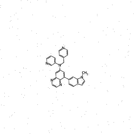 Cn1ccc2ccc(-c3cc(N(Cc4ccncc4)c4cccnc4)cc4nccnc34)cc21